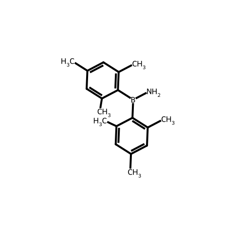 Cc1cc(C)c(B(N)c2c(C)cc(C)cc2C)c(C)c1